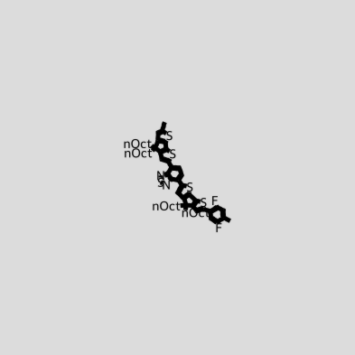 CCCCCCCCC1(CCCCCCCC)c2cc(C)sc2-c2sc(-c3ccc(-c4cc5c(s4)-c4sc(-c6cc(F)c(C)cc6F)cc4C5(CCCCCCCC)CCCCCCCC)c4nsnc34)cc21